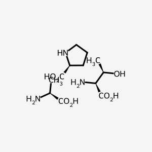 C[C@@H](O)[C@H](N)C(=O)O.C[C@H](N)C(=O)O.O=C(O)[C@@H]1CCCN1